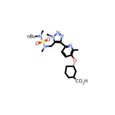 CCCCN(C)S(=O)(=O)N(C)Cc1c(-c2ccc(O[C@H]3CCCC(C(=O)O)C3)c(C)n2)nnn1C